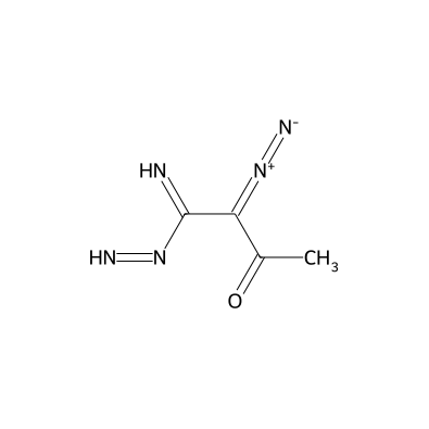 CC(=O)C(=[N+]=[N-])C(=N)N=N